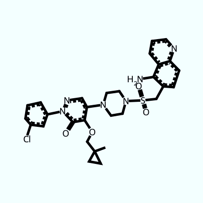 CC1(COc2c(N3CCN(S(=O)(=O)Cc4ccc5ncccc5c4N)CC3)cnn(-c3cccc(Cl)c3)c2=O)CC1